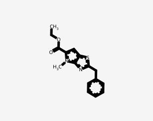 CCOC(=O)c1cc2sc(Cc3ccccc3)nc2n1C